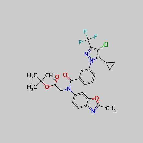 Cc1nc2ccc(N(CC(=O)OC(C)(C)C)C(=O)c3cccc(-n4nc(C(F)(F)F)c(Cl)c4C4CC4)c3)cc2o1